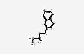 O=C(C=Cc1ccc2ccccc2c1)NO